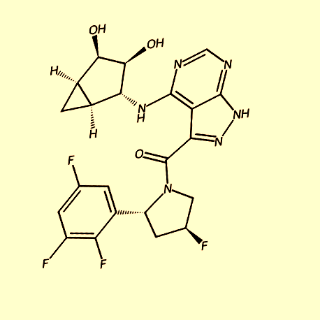 O=C(c1n[nH]c2ncnc(N[C@H]3[C@H](O)[C@H](O)[C@@H]4C[C@@H]43)c12)N1C[C@@H](F)C[C@@H]1c1cc(F)cc(F)c1F